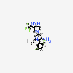 CN1C[C@H](N2CCc3[nH]nc(C(F)(F)F)c3C2)C[C@H](N)[C@H]1c1cc(F)ccc1F